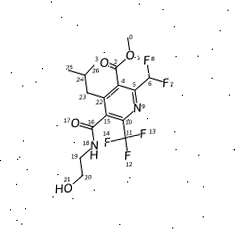 COC(=O)c1c(C(F)F)nc(C(F)(F)F)c(C(=O)NCCO)c1CC(C)C